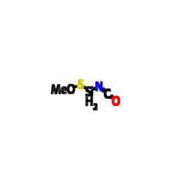 COS[SiH2]N=C=O